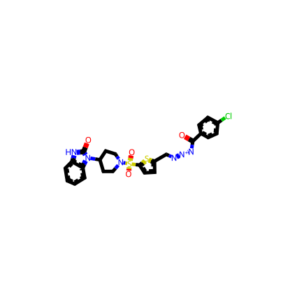 O=C(N=[N+]=NCc1ccc(S(=O)(=O)N2CCC(n3c(=O)[nH]c4ccccc43)CC2)s1)c1ccc(Cl)cc1